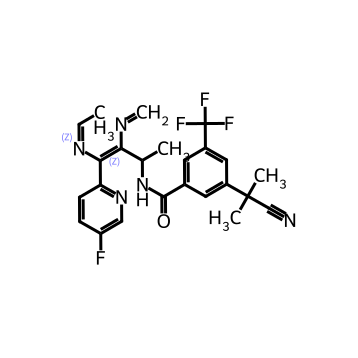 C=N/C(=C(\N=C/C)c1ccc(F)cn1)C(C)NC(=O)c1cc(C(F)(F)F)cc(C(C)(C)C#N)c1